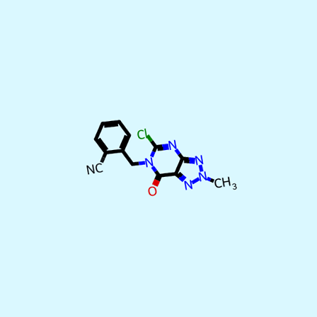 Cn1nc2nc(Cl)n(Cc3ccccc3C#N)c(=O)c2n1